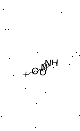 CC(C)(C)CCCOCCC(=O)N1CCNCC1